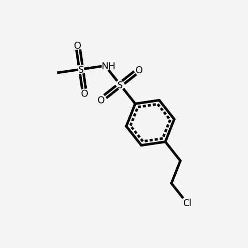 CS(=O)(=O)NS(=O)(=O)c1ccc(CCCl)cc1